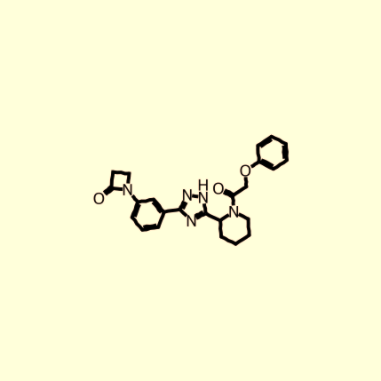 O=C1CCN1c1cccc(-c2n[nH]c(C3CCCCN3C(=O)COc3ccccc3)n2)c1